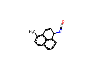 Cc1ccc2cccc3c2c1C=CC3N=C=O